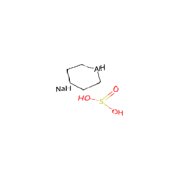 C1C[CH2][AlH][CH2]C1.O=S(O)O.[NaH]